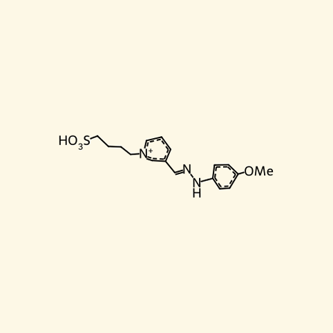 COc1ccc(NN=Cc2ccc[n+](CCCCS(=O)(=O)O)c2)cc1